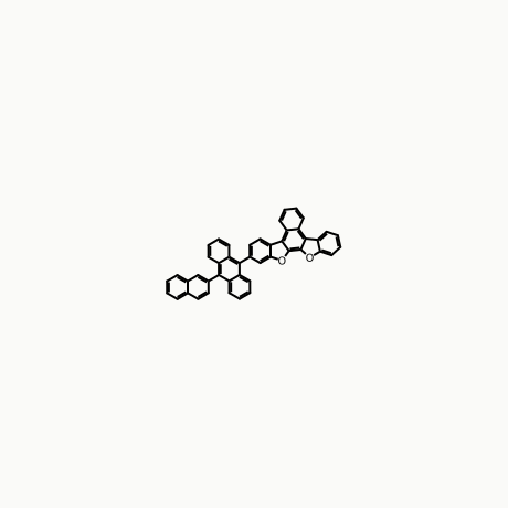 c1ccc2cc(-c3c4ccccc4c(-c4ccc5c(c4)oc4c6oc7ccccc7c6c6ccccc6c54)c4ccccc34)ccc2c1